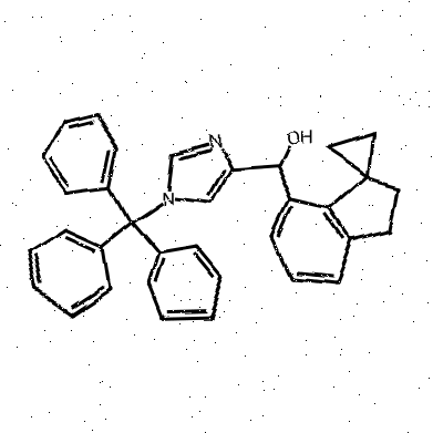 OC(c1cn(C(c2ccccc2)(c2ccccc2)c2ccccc2)cn1)c1cccc2c1C1(CC2)CC1